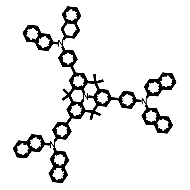 CC1(C)c2cc(-c3ccc(N(c4ccc5ccccc5c4)c4ccc5ccccc5c4)cc3)cc3c2N2c4c1cc(-c1ccc(N(c5ccc6ccccc6c5)c5ccc6ccccc6c5)cc1)cc4C(C)(C)c1cc(-c4ccc(N(c5ccc6ccccc6c5)C5C=Cc6ccccc6C5)cc4)cc(c12)C3(C)C